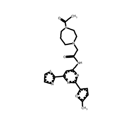 CC(=O)N1CCCN(CC(=O)Nc2cc(-c3nccs3)nc(-c3ccc(C)o3)n2)CC1